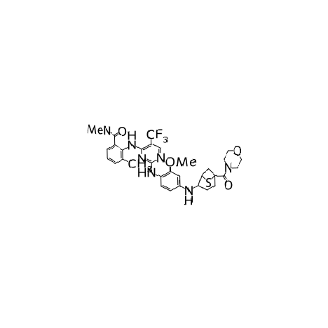 CNC(=O)c1cccc(C)c1Nc1nc(Nc2ccc(NC3CCC4(C(=O)N5CCOCC5)CC3S4)cc2OC)ncc1C(F)(F)F